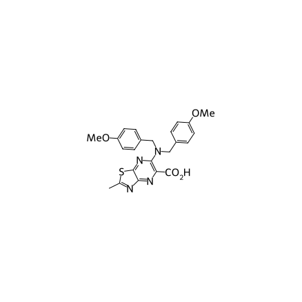 COc1ccc(CN(Cc2ccc(OC)cc2)c2nc3sc(C)nc3nc2C(=O)O)cc1